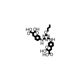 CCCCOc1nc(Nc2ccc(C=C(C(=O)O)C(=O)O)cc2)nc(Nc2ccc(C=C(C(=O)O)C(=O)O)cc2)n1